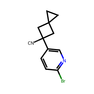 [C-]#[N+]C1(c2ccc(Br)nc2)CC2(CC2)C1